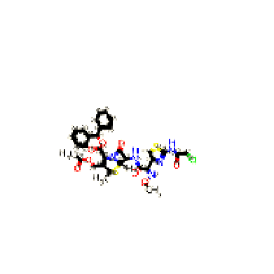 CO/N=C(\C(=O)NC1C(=O)N2C(C(=O)OC(c3ccccc3)c3ccccc3)=C(COC(C)=O)[C@H](C)S[C@@H]12)c1csc(NC(=O)CCl)n1